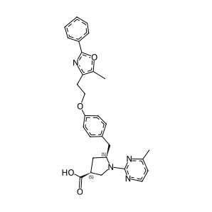 Cc1ccnc(N2C[C@@H](C(=O)O)C[C@H]2Cc2ccc(OCCc3nc(-c4ccccc4)oc3C)cc2)n1